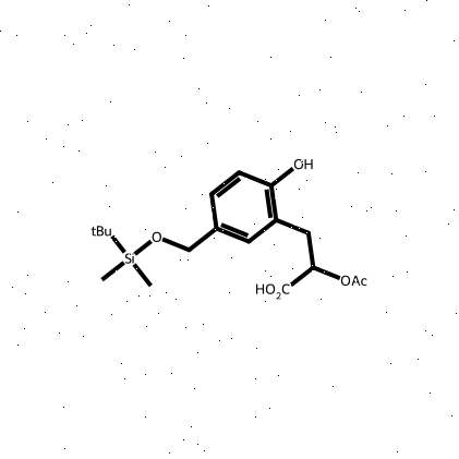 CC(=O)OC(Cc1cc(CO[Si](C)(C)C(C)(C)C)ccc1O)C(=O)O